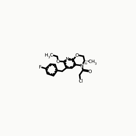 CCOc1nc2c(cc1Cc1ccc(F)cc1)N(C(=O)CCl)[C@@H](C)CO2